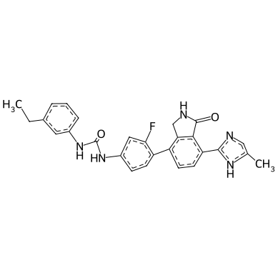 CCc1cccc(NC(=O)Nc2ccc(-c3ccc(-c4ncc(C)[nH]4)c4c3CNC4=O)c(F)c2)c1